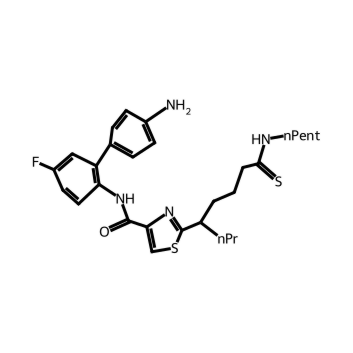 CCCCCNC(=S)CCCC(CCC)c1nc(C(=O)Nc2ccc(F)cc2-c2ccc(N)cc2)cs1